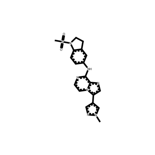 Cn1cc(-c2cnc3c(Nc4ccc5c(c4)CCN5S(C)(=O)=O)nccn23)cn1